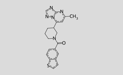 Cc1cc(C2CCCN(C(=O)c3ccc4sccc4c3)C2)n2ncnc2n1